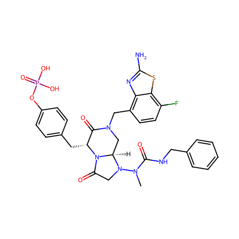 CN(C(=O)NCc1ccccc1)N1CC(=O)N2[C@H](Cc3ccc(OP(=O)(O)O)cc3)C(=O)N(Cc3ccc(F)c4sc(N)nc34)C[C@H]21